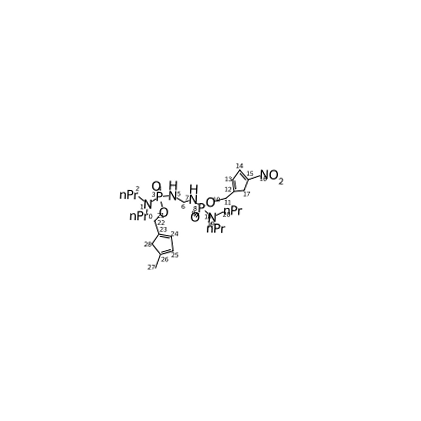 CCCN(CCC)P(=O)(NCNP(=O)(OCC1=CC=C([N+](=O)[O-])C1)N(CCC)CCC)OCC1=CC=C(C)C1